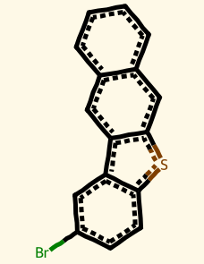 Brc1ccc2sc3cc4ccccc4cc3c2c1